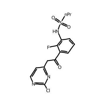 CCCS(=O)(=O)Nc1cccc(C(=O)Cc2ccnc(Cl)n2)c1F